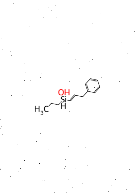 CCC[SiH](O)C=CCc1ccccc1